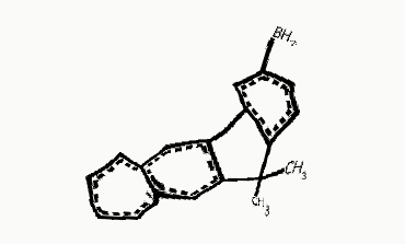 Bc1ccc2c(c1)-c1cc3ccccc3cc1C2(C)C